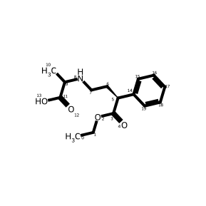 CCOC(=O)[C@@H](CCNC(C)C(=O)O)c1ccccc1